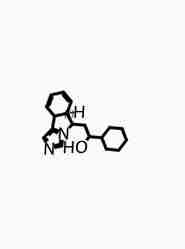 OC(CC1[C@@H]2C=CC=CC2c2cncn21)C1CCCCC1